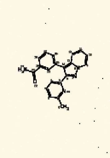 Cc1cccc(-c2nn3ccccc3c2-c2cccc(C(N)=O)c2)n1